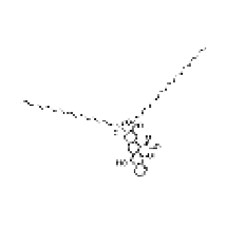 CCCCCCCCCCCCCCCCCCS(=O)(=O)c1cc2cc3c(O)c4ccccc4c(O)c3c(C(=O)C=O)c2cc1S(=O)(=O)CCCCCCCCCCCCCCCCCC